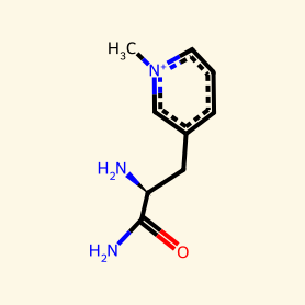 C[n+]1cccc(C[C@H](N)C(N)=O)c1